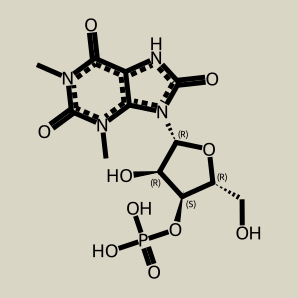 Cn1c(=O)c2[nH]c(=O)n([C@@H]3O[C@H](CO)[C@@H](OP(=O)(O)O)[C@H]3O)c2n(C)c1=O